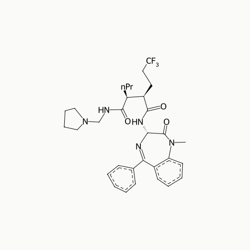 CCC[C@H](C(=O)NCN1CCCC1)[C@@H](CCC(F)(F)F)C(=O)N[C@H]1N=C(c2ccccc2)c2ccccc2N(C)C1=O